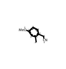 COc1ccc(CC#N)c(C)c1